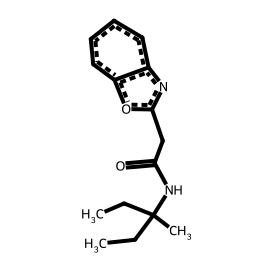 CCC(C)(CC)NC(=O)Cc1nc2ccccc2o1